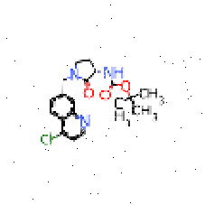 CC(C)(C)OC(=O)N[C@H]1CCN(Cc2ccc3c(Cl)ccnc3c2)C1=O